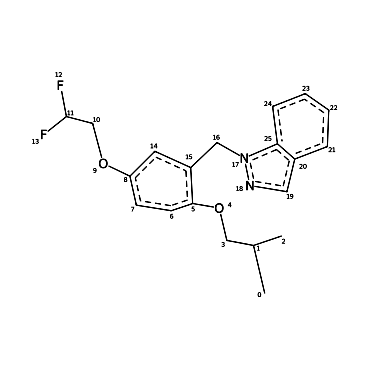 CC(C)COc1ccc(OCC(F)F)cc1Cn1ncc2ccccc21